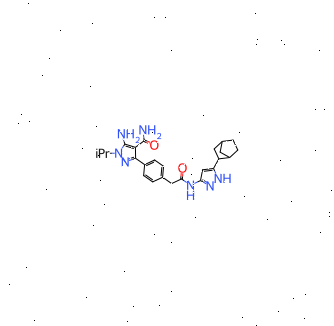 CC(C)n1nc(-c2ccc(CC(=O)Nc3cc(C4CC5CCC4C5)[nH]n3)cc2)c(C(N)=O)c1N